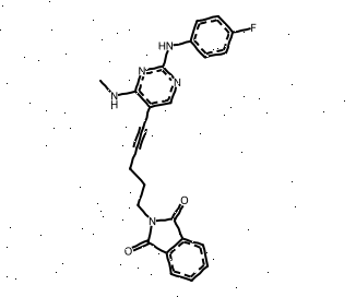 CNc1nc(Nc2ccc(F)cc2)ncc1C#CCCCN1C(=O)c2ccccc2C1=O